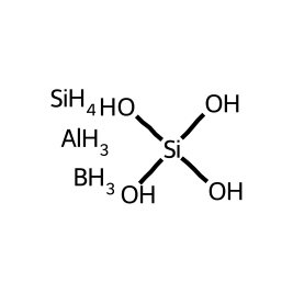 B.O[Si](O)(O)O.[AlH3].[SiH4]